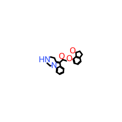 O=C1CCc2cccc(OCC(=O)c3c4n(c5ccccc35)CCNCC4)c21